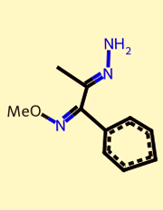 CON=C(C(C)=NN)c1ccccc1